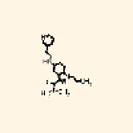 CCCn1nc(C(=O)N(C)C)c2c1CCC(NCCc1cccnc1)C2